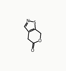 O=C1Cc2cnsc2CO1